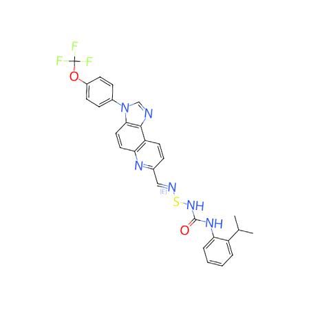 CC(C)c1ccccc1NC(=O)NS/N=C/c1ccc2c(ccc3c2ncn3-c2ccc(OC(F)(F)F)cc2)n1